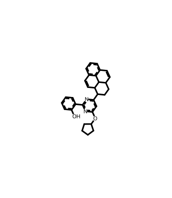 Oc1ccccc1-c1nc(OC2CCCC2)cc(C2CCC3C=Cc4cccc5c4C3C2C=C5)n1